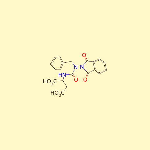 O=C(O)CC(NC(=O)N(Cc1ccccc1)N1C(=O)c2ccccc2C1=O)C(=O)O